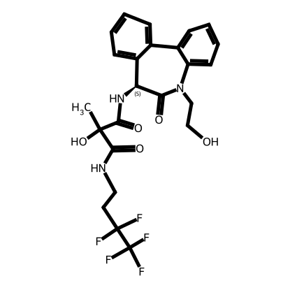 CC(O)(C(=O)NCCC(F)(F)C(F)(F)F)C(=O)N[C@@H]1C(=O)N(CCO)c2ccccc2-c2ccccc21